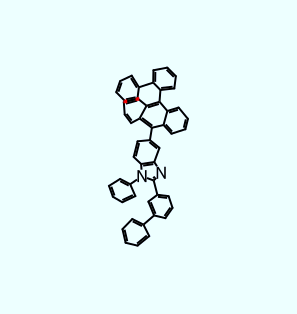 c1ccc(-c2cccc(-c3nc4cc(-c5c6ccccc6c(-c6ccccc6-c6ccccc6)c6ccccc56)ccc4n3-c3ccccc3)c2)cc1